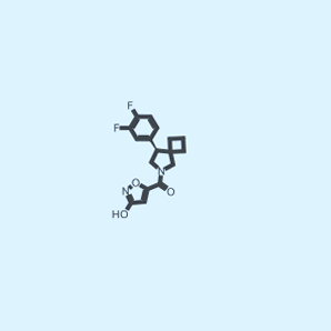 O=C(c1cc(O)no1)N1C[C@@H](c2ccc(F)c(F)c2)C2(CCC2)C1